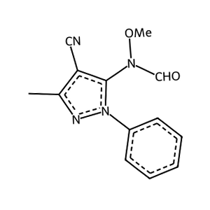 CON(C=O)c1c(C#N)c(C)nn1-c1ccccc1